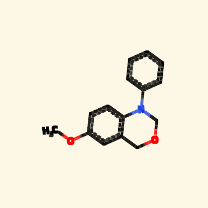 COc1ccc2c(c1)COCN2c1ccccc1